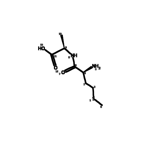 CSCC[C@H](N)C(=O)N[C@H](C)C(=O)O